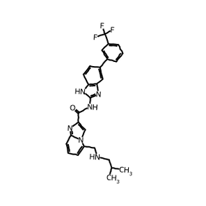 CC(C)CNCc1cccc2nc(C(=O)Nc3nc4cc(-c5cccc(C(F)(F)F)c5)ccc4[nH]3)cn12